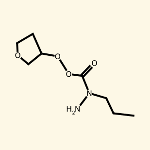 CCCN(N)C(=O)OOC1CCOC1